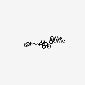 COc1ccc(C2=CC(=O)c3c(OCCCCCCN4CCOCC4)cccc3C2=O)cc1OC